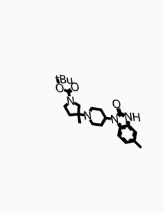 Cc1ccc2c(c1)[nH]c(=O)n2C1CCN(C2(C)CCN(C(=O)OC(C)(C)C)C2)CC1